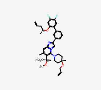 C=CCOC1(C)CCN(c2c([C@](C)(OC(C)(C)C)C(=O)O)c(C)cc3nc(-c4cccc(-c5cc(F)c(F)cc5O[C@@H](C)CC=C)c4)cn23)CC1